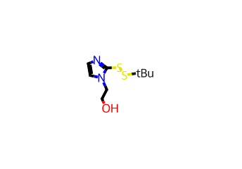 CC(C)(C)SSc1nccn1CCO